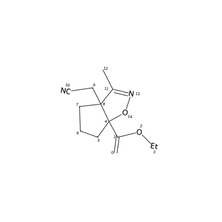 C=C(OCC)C12CCCC1(CC#N)C(C)=NO2